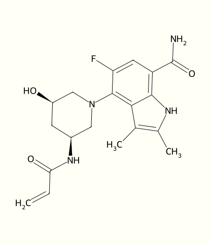 C=CC(=O)N[C@H]1C[C@@H](O)CN(c2c(F)cc(C(N)=O)c3[nH]c(C)c(C)c23)C1